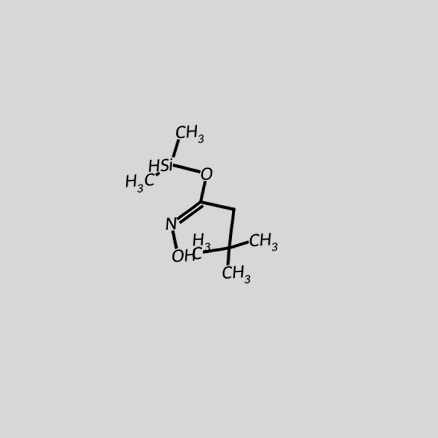 C[SiH](C)OC(CC(C)(C)C)=NO